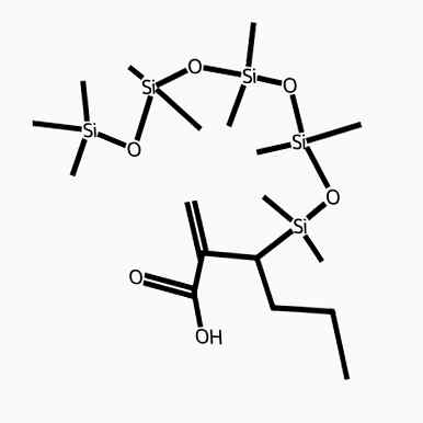 C=C(C(=O)O)C(CCC)[Si](C)(C)O[Si](C)(C)O[Si](C)(C)O[Si](C)(C)O[Si](C)(C)C